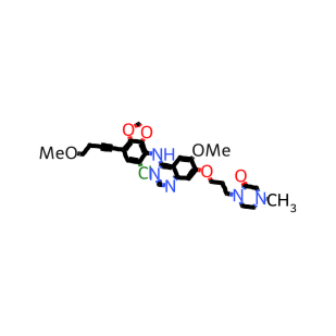 COCCC#Cc1cc(Cl)c(Nc2ncnc3cc(OCCCN4CCN(C)CC4=O)c(OC)cc23)c2c1OCO2